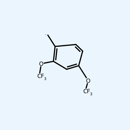 [CH2]c1ccc(OC(F)(F)F)cc1OC(F)(F)F